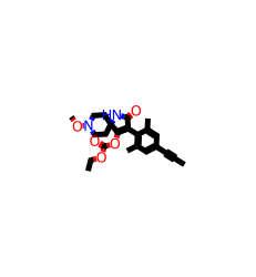 CC#Cc1cc(C)c(C2=C(OC(=O)OCC)C3(CCN(OC)CC3)NC2=O)c(C)c1